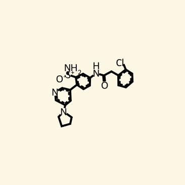 N[S+]([O-])c1cc(NC(=O)Cc2ccccc2Cl)ccc1-c1cncc(N2CCCC2)c1